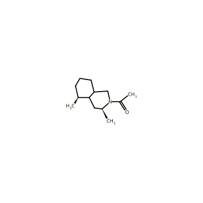 CC(=O)N1CC2CCC[C@H](C)C2C[C@@H]1C